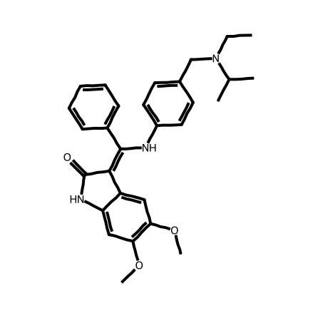 CCN(Cc1ccc(NC(=C2C(=O)Nc3cc(OC)c(OC)cc32)c2ccccc2)cc1)C(C)C